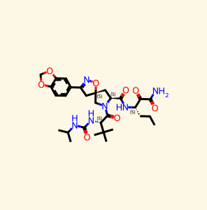 CCC[C@H](NC(=O)[C@@H]1C[C@]2(CC(c3ccc4c(c3)OCO4)=NO2)CN1C(=O)[C@@H](NC(=O)NC(C)C)C(C)(C)C)C(=O)C(N)=O